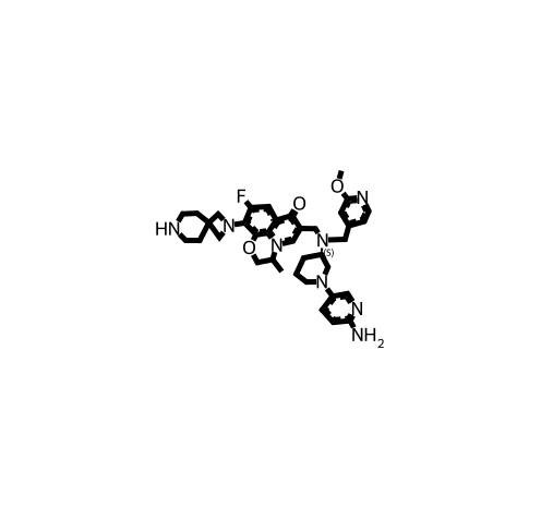 COc1cc(CN(Cc2cn3c4c(c(N5CC6(CCNCC6)C5)c(F)cc4c2=O)OCC3C)[C@H]2CCCN(c3ccc(N)nc3)C2)ccn1